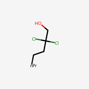 CCCCCC(Cl)(Cl)CO